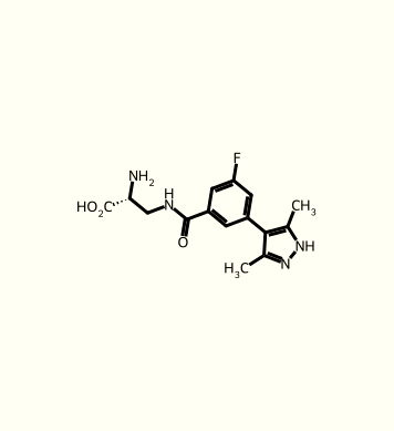 Cc1n[nH]c(C)c1-c1cc(F)cc(C(=O)NC[C@@H](N)C(=O)O)c1